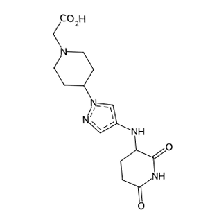 O=C(O)CN1CCC(n2cc(NC3CCC(=O)NC3=O)cn2)CC1